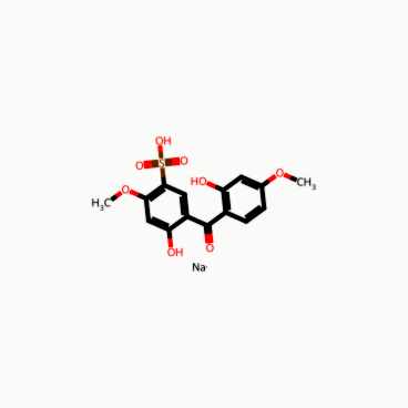 COc1ccc(C(=O)c2cc(S(=O)(=O)O)c(OC)cc2O)c(O)c1.[Na]